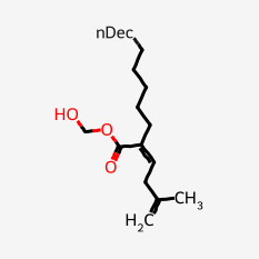 C=C(C)CC=C(CCCCCCCCCCCCCCC)C(=O)OCO